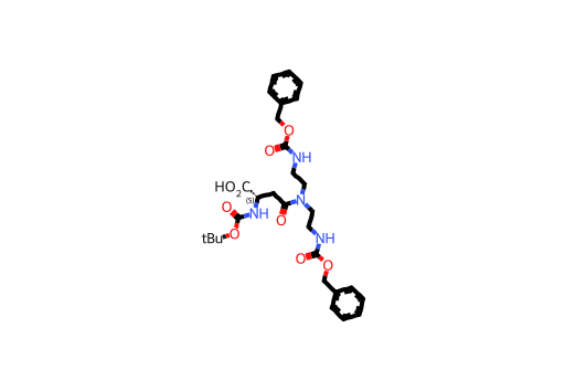 CC(C)(C)OC(=O)N[C@@H](CC(=O)N(CCNC(=O)OCc1ccccc1)CCNC(=O)OCc1ccccc1)C(=O)O